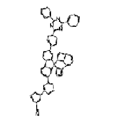 N#Cc1cccc(-c2cccc(-c3ccc4c(c3)C3(c5cc(-c6ccc(-c7nc(C8=CC=CCC=C8)nc(-c8ccccc8)n7)cc6)ccc5-4)c4ccccc4-c4cccc5cccc3c45)c2)c1